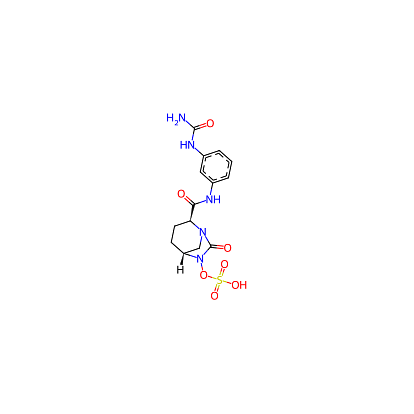 NC(=O)Nc1cccc(NC(=O)[C@@H]2CC[C@@H]3CN2C(=O)N3OS(=O)(=O)O)c1